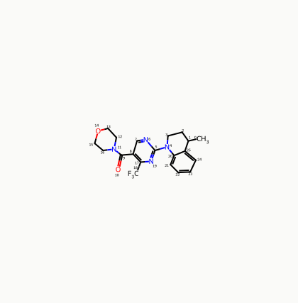 CC1CCN(c2ncc(C(=O)N3CCOCC3)c(C(F)(F)F)n2)c2ccccc21